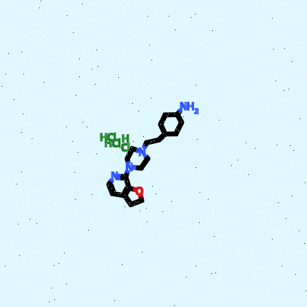 Cl.Cl.Cl.NC1CCC(CCN2CCN(c3nccc4c3OCC4)CC2)CC1